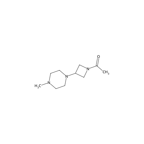 CC(=O)N1CC(N2CCN(C)CC2)C1